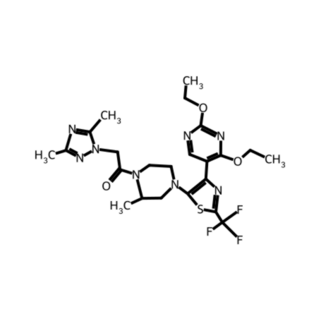 CCOc1ncc(-c2nc(C(F)(F)F)sc2N2CCN(C(=O)Cn3nc(C)nc3C)C(C)C2)c(OCC)n1